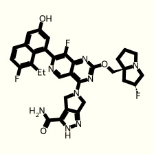 CCc1c(F)ccc2cc(O)cc(-c3ncc4c(N5Cc6n[nH]c(C(N)=O)c6C5)nc(OC[C@@]56CCCN5C[C@H](F)C6)nc4c3F)c12